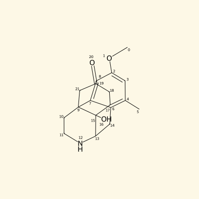 COc1cc(C)c2c(c1)C13CCNC(C2)C1(O)CCC(=O)C3